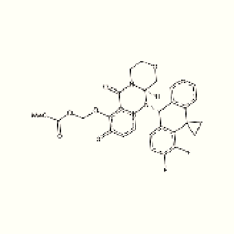 COC(=O)OCOc1c2n(ccc1=O)N([C@@H]1c3ccccc3C3(CC3)c3c1ccc(F)c3F)[C@@H]1COCCN1C2=O